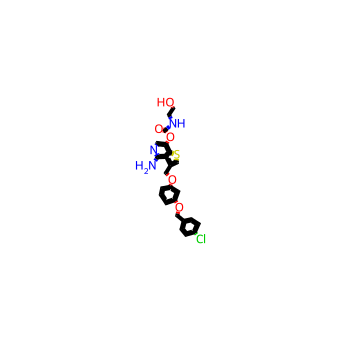 Nc1ncc(OC(=O)NCCO)c2scc(COc3cccc(OCc4ccc(Cl)cc4)c3)c12